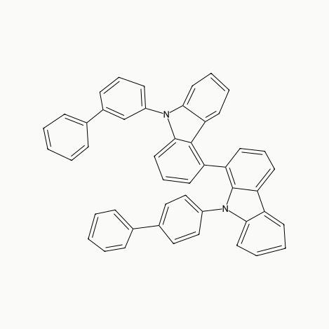 c1ccc(-c2ccc(-n3c4ccccc4c4cccc(-c5cccc6c5c5ccccc5n6-c5cccc(-c6ccccc6)c5)c43)cc2)cc1